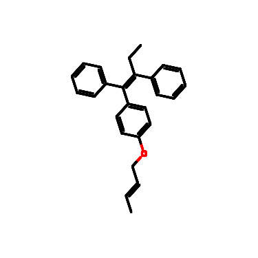 C/C=C/COc1ccc(/C(=C(/CC)c2ccccc2)c2ccccc2)cc1